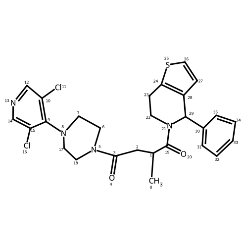 CC(CC(=O)N1CCN(c2c(Cl)cncc2Cl)CC1)C(=O)N1CCc2sccc2C1c1ccccc1